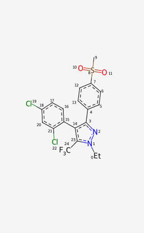 CCn1nc(-c2ccc(S(C)(=O)=O)cc2)c(-c2ccc(Cl)cc2Cl)c1C(F)(F)F